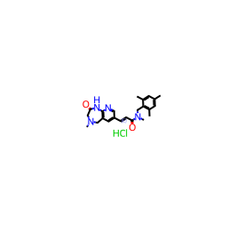 Cc1cc(C)c(CN(C)C(=O)/C=C/c2cnc3c(c2)CN(C)CC(=O)N3)c(C)c1.Cl